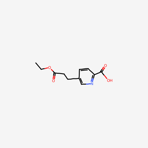 CCOC(=O)CCc1ccc(C(=O)O)nc1